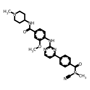 COc1cc(C(=O)NC2CCN(C)CC2)ccc1Nc1nccc(-c2ccc(C(=O)N(C)C#N)cc2)n1